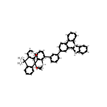 CC1(C)c2ccccc2C2(c3ccccc3Sc3c(-c4cccc(-c5ccc6c7ccccc7n7c8ccccc8nc7c6c5)c4)cccc32)c2ccccc21